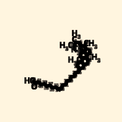 CC(C)[C@@H](C)C=C[C@@H](C)[C@H]1CC[C@@]2(C)C3=C(CC[C@]12C)[C@@]1(C)CCC(CCCCCCCC/C=C\CCCCCCCC(=O)O)CC1CC3